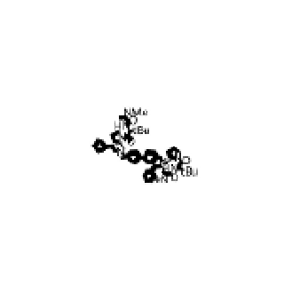 CN[C@@H](C)C(=O)N[C@H](C(=O)N1CCC[C@H]1CN(CCc1ccccc1)Cc1ccc(-c2ccc(CN(CCc3ccccc3)C[C@@H]3CCCN3C(=O)[C@@H](NC(=O)[C@H](C)NC)C(C)(C)C)cc2)cc1)C(C)(C)C